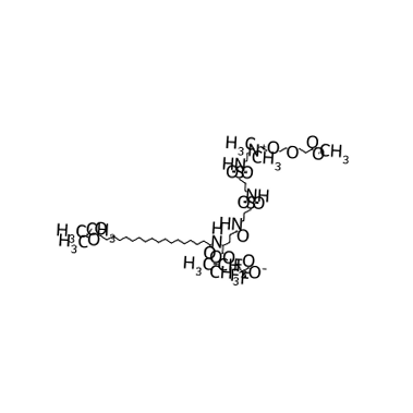 COC(=O)CCOCCOCC[N+](C)(C)CCNS(=O)(=O)CCCNS(=O)(=O)CCCNC(=O)CCC(NC(=O)CCCCCCCCCCCCCCCCC(=O)OC(C)(C)C)C(=O)OC(C)(C)C.O=C([O-])C(F)(F)F